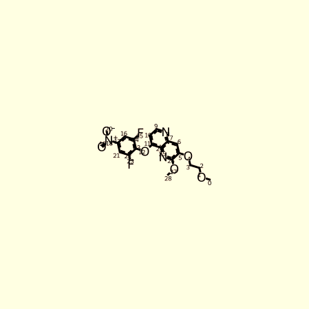 COCCOc1cc2nccc(Oc3c(F)cc([N+](=O)[O-])cc3F)c2nc1OC